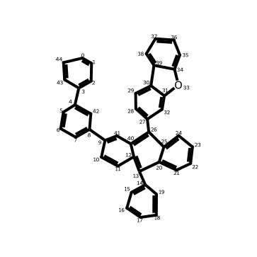 c1ccc(-c2cccc(-c3ccc4c(-c5ccccc5)c5ccccc5c(-c5ccc6c(c5)oc5ccccc56)c4c3)c2)cc1